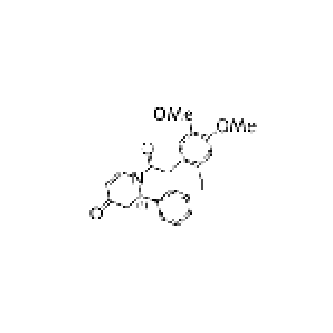 COc1cc(I)c(CC(=O)N2C=CC(=O)C[C@@H]2c2ccccc2)cc1OC